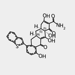 NC(=O)C1=C(O)C[C@@H]2C[C@@H]3Cc4c(-c5cc6ccccc6s5)ccc(O)c4C(=O)C3=C(O)[C@]2(O)C1=O